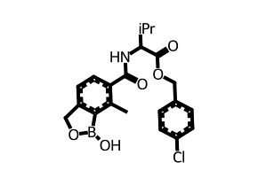 Cc1c(C(=O)NC(C(=O)OCc2ccc(Cl)cc2)C(C)C)ccc2c1B(O)OC2